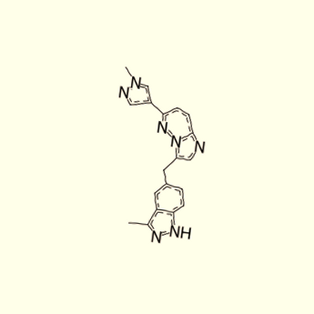 Cc1n[nH]c2ccc(Cc3cnc4ccc(-c5cnn(C)c5)nn34)cc12